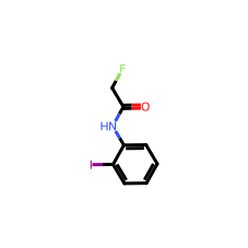 O=C(CF)Nc1ccccc1I